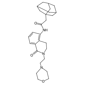 O=C(CC12CC3CC(CC(C3)C1)C2)Nc1cccc2c1CCN(CCN1CCOCC1)C2=O